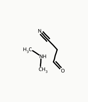 CNC.N#CCC=O